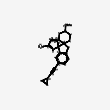 COC1CCC2(CC1)Cc1ccc(C#CC3CC3)cc1C21N=C(N)c2ccncc21